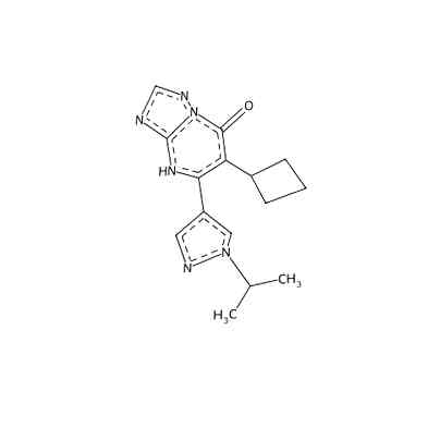 CC(C)n1cc(-c2[nH]c3ncnn3c(=O)c2C2CCC2)cn1